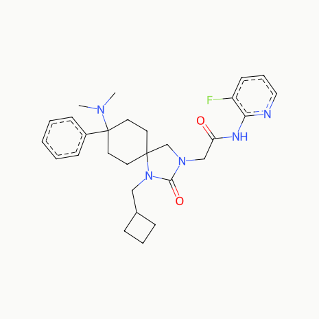 CN(C)C1(c2ccccc2)CCC2(CC1)CN(CC(=O)Nc1ncccc1F)C(=O)N2CC1CCC1